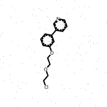 ClCCOCCOc1cccc(-c2cccnc2)c1